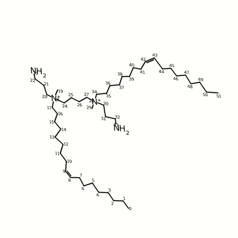 CCCCCCCC/C=C\CCCCCCCC[N+](C)(CCCN)CCCC[N+](C)(CCCN)CCCCCCCC/C=C\CCCCCCCC